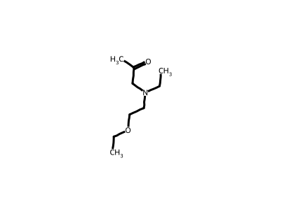 CCOCCN(CC)CC(C)=O